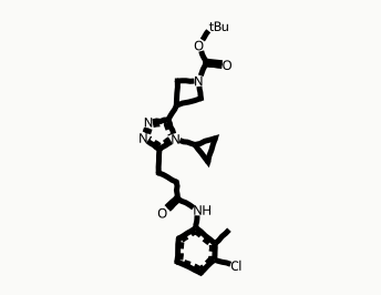 Cc1c(Cl)cccc1NC(=O)CCc1nnc(C2CN(C(=O)OC(C)(C)C)C2)n1C1CC1